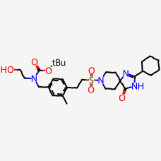 Cc1cc(CN(CCO)C(=O)OC(C)(C)C)ccc1CCS(=O)(=O)N1CCC2(CC1)N=C(C1CCCCC1)NC2=O